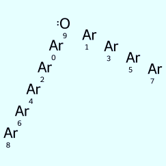 [Ar].[Ar].[Ar].[Ar].[Ar].[Ar].[Ar].[Ar].[Ar].[O]